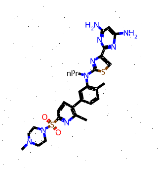 CCCN(c1nc(-c2nc(N)cc(N)n2)cs1)c1cc(-c2ccc(S(=O)(=O)N3CCN(C)CC3)nc2C)ccc1C